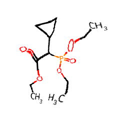 CCOC(=O)C(C1CC1)P(=O)(OCC)OCC